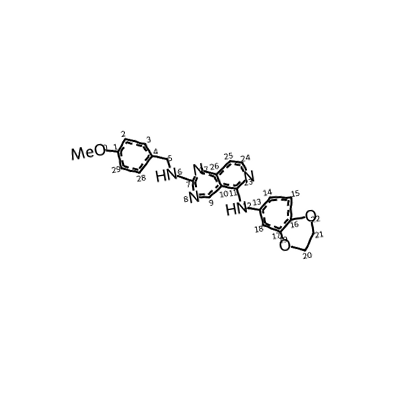 COc1ccc(CNc2ncc3c(Nc4ccc5c(c4)OCCO5)nccc3n2)cc1